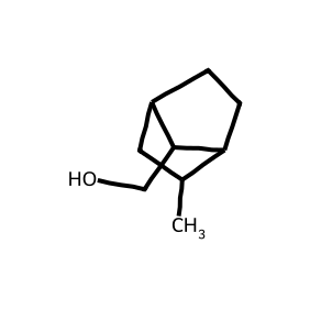 CC1CC2CCC1C2CO